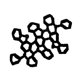 c1ccc(N2c3ccccc3B3c4c2cc2c(oc5ccccc52)c4-c2c4c5ccccc5n5c4c(c4c6ccccc6n3c24)-c2c3c(cc4c2oc2ccccc24)N(c2ccccc2)c2ccccc2B35)cc1